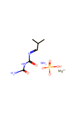 CC(C)C=NC(=O)NC(N)=O.N.O=P([O-])([O-])O.[Mg+2]